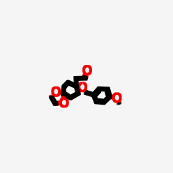 COc1ccc(COC2(CC=O)CCC3(CC2)OCCO3)cc1